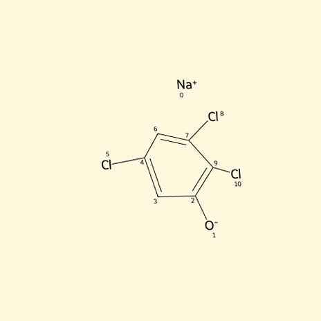 [Na+].[O-]c1cc(Cl)cc(Cl)c1Cl